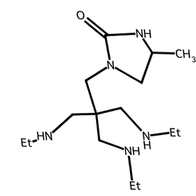 CCNCC(CNCC)(CNCC)CN1CC(C)NC1=O